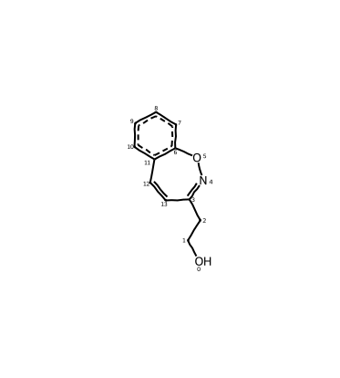 OCCC1=NOc2ccccc2C=C1